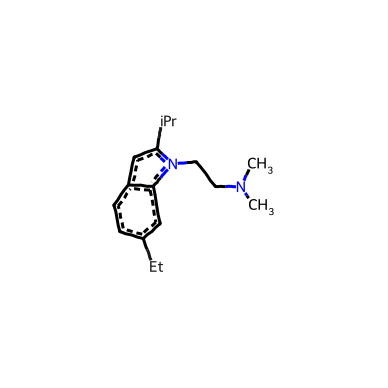 CCc1ccc2cc(C(C)C)n(CCN(C)C)c2c1